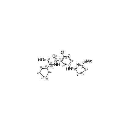 CSc1nccc(Nc2ccc(Cl)c(C(=O)N[C@H](CO)C3CCCCC3)c2)n1